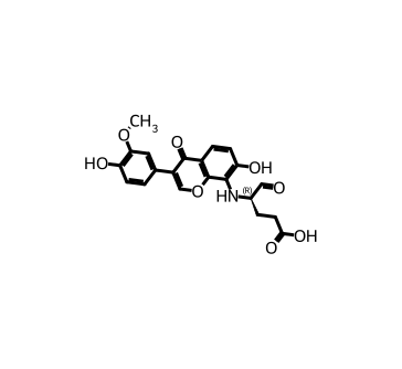 COc1cc(-c2coc3c(N[C@@H](C=O)CCC(=O)O)c(O)ccc3c2=O)ccc1O